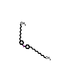 CCCCCCCCCCCc1ccc([I+]c2ccc(CCCCCCCCCC)cc2)cc1